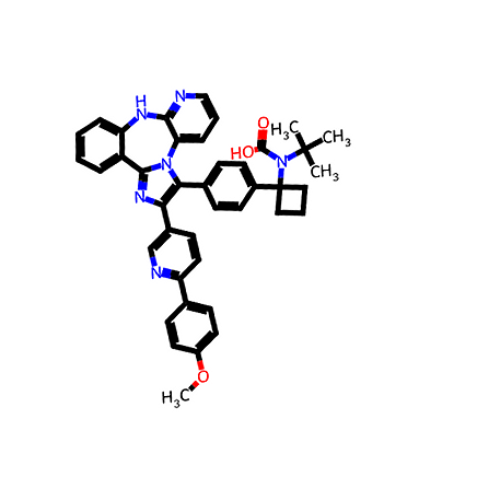 COc1ccc(-c2ccc(-c3nc4n(c3-c3ccc(C5(N(C(=O)O)C(C)(C)C)CCC5)cc3)-c3cccnc3Nc3ccccc3-4)cn2)cc1